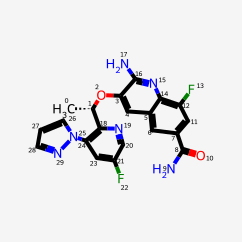 C[C@H](Oc1cc2cc(C(N)=O)cc(F)c2nc1N)c1ncc(F)cc1-n1cccn1